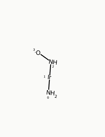 [NH2][Ir][NH][O]